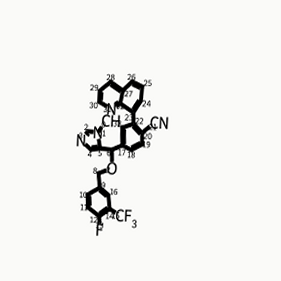 Cn1cncc1C(OCc1ccc(F)c(C(F)(F)F)c1)c1ccc(C#N)c(-c2cccc3cccnc23)c1